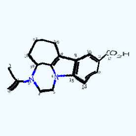 C=C(C)N1CCn2c3c(c4cc(C(=O)O)ccc42)CCCC31